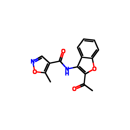 CC(=O)c1oc2ccccc2c1NC(=O)c1cnoc1C